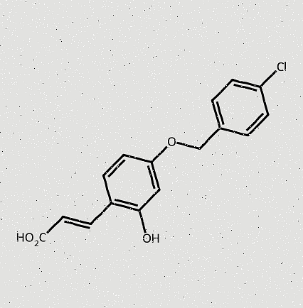 O=C(O)C=Cc1ccc(OCc2ccc(Cl)cc2)cc1O